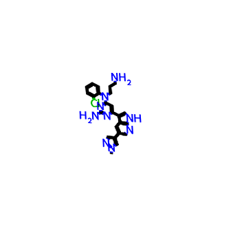 Cn1cc(-c2cnc3[nH]cc(-c4cc(N(CCCN)c5ccccc5Cl)nc(N)n4)c3c2)cn1